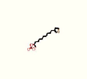 O=C1OCC(CCCCCCCCCc2ccsc2)O1